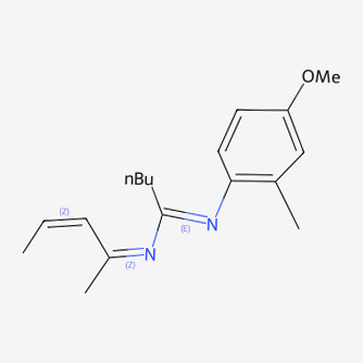 C\C=C/C(C)=N\C(CCCC)=N\c1ccc(OC)cc1C